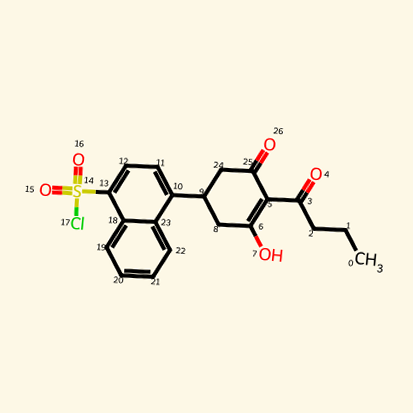 CCCC(=O)C1=C(O)CC(c2ccc(S(=O)(=O)Cl)c3ccccc23)CC1=O